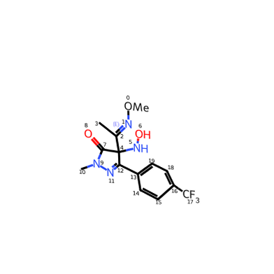 CO/N=C(\C)C1(NO)C(=O)N(C)N=C1c1ccc(C(F)(F)F)cc1